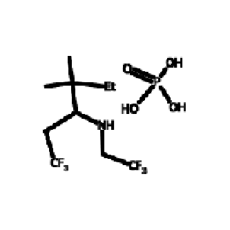 CCC(C)(C)C(CC(F)(F)F)NCC(F)(F)F.O=P(O)(O)O